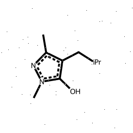 Cc1nn(C)c(O)c1CC(C)C